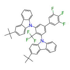 CC(C)(C)c1ccc2c(c1)c1ccccc1n2-c1cc(-c2cc(F)c(F)c(F)c2)cc(-n2c3ccccc3c3cc(C(C)(C)C)ccc32)c1C(F)(F)F